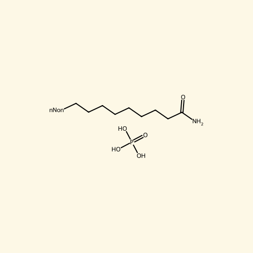 CCCCCCCCCCCCCCCCCC(N)=O.O=P(O)(O)O